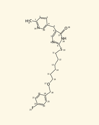 Cc1ccc(Cc2cnc(SCCCCCCOCc3ccc(F)cc3)[nH]c2=O)cn1